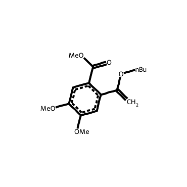 C=C(OCCCC)c1cc(OC)c(OC)cc1C(=O)OC